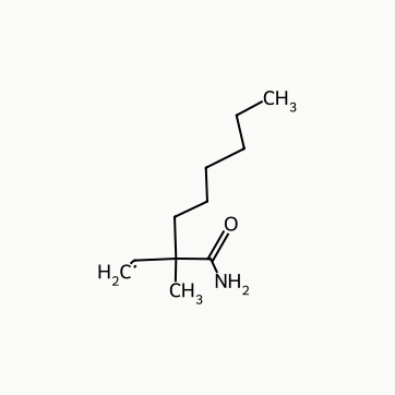 C=CC(C)(CCCCCC)C(N)=O